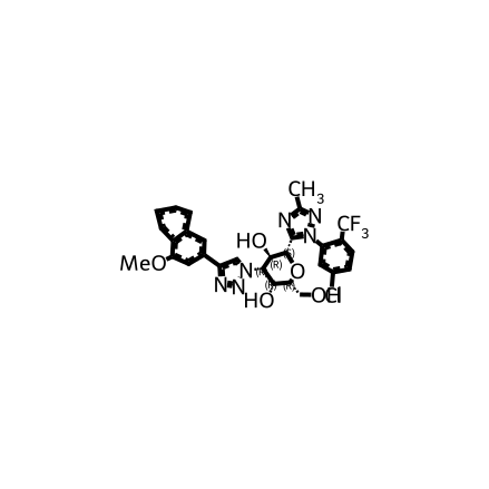 COc1cc(-c2cn([C@H]3[C@@H](O)[C@@H](CO)O[C@@H](c4nc(C)nn4-c4cc(Cl)ccc4C(F)(F)F)[C@@H]3O)nn2)cc2ccccc12